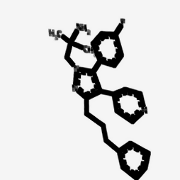 CC(C)(N)Cn1nc(CCCc2ccccc2)c(-c2ccncc2)c1-c1ccc(F)cc1